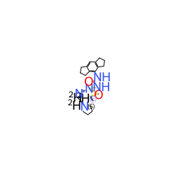 [2H]C([2H])([2H])N1CCC[C@H]1/C=C/S(=O)(=NC#N)NC(=O)Nc1c2c(cc3c1CCC3)CCC2